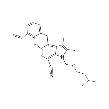 C=Cc1cccc(Cc2c(F)cc(C#N)c3c2c(C)c(C)n3COCCC(C)C)n1